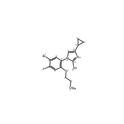 COCCOc1cc(F)c(Br)cc1-n1cc(C2CC2)nc1S